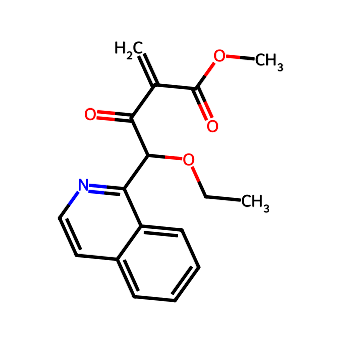 C=C(C(=O)OC)C(=O)C(OCC)c1nccc2ccccc12